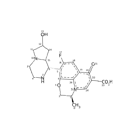 C[C@H]1COc2c([C@@H]3NCCN4CC(O)CC34)c(F)cc3c(=O)c(C(=O)O)cn1c23